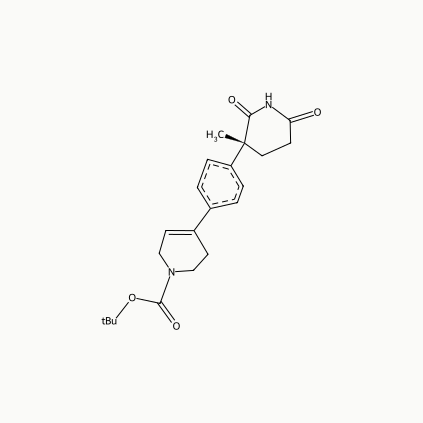 CC(C)(C)OC(=O)N1CC=C(c2ccc([C@@]3(C)CCC(=O)NC3=O)cc2)CC1